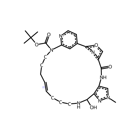 Cn1cc2c(n1)C(O)NCCC/C=C/CCCN(C(=O)OC(C)(C)C)c1cc(ccn1)-c1nc(co1)C(=O)N2